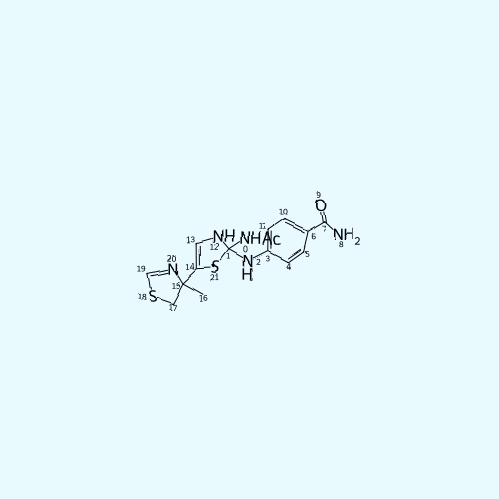 CC(=O)NC1(Nc2ccc(C(N)=O)cc2)NC=C(C2(C)CSC=N2)S1